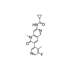 Cc1c(F)cncc1-c1cc2cnc(NC(=O)C3CC3)cc2n(C)c1=O